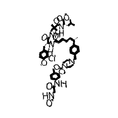 COC(=O)[C@H](CC(C)C)NC(=O)C(C)(C)CNC(=O)[C@@H](Cc1ccc(OC)c(Cl)c1)NC(=O)/C=C/CC[C@H](C)c1ccc(CN2CCN(C(=O)OCc3ccc(NC(=O)CNC=O)cc3)CC2)cc1